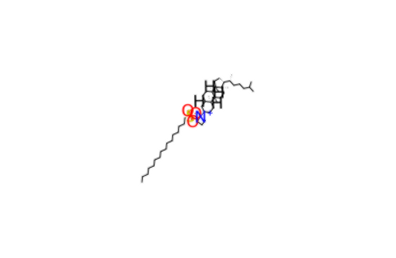 CCCCCCCCCCCCCCCCS(=O)(=O)O[N+]1([C@@H]2CC[C@@]3(C)[C@@H](CC[C@@H]4[C@@H]3CC[C@]3(C)[C@@H]([C@H](C)CCCC(C)C)CC[C@@H]43)C2)CCC1